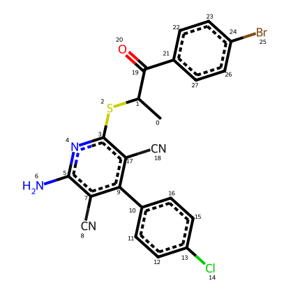 CC(Sc1nc(N)c(C#N)c(-c2ccc(Cl)cc2)c1C#N)C(=O)c1ccc(Br)cc1